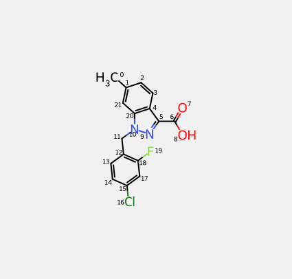 Cc1ccc2c(C(=O)O)nn(Cc3ccc(Cl)cc3F)c2c1